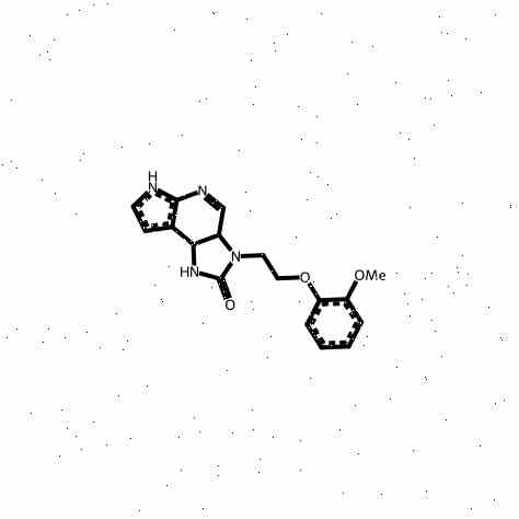 COc1ccccc1OCCN1C(=O)NC2c3cc[nH]c3N=CC21